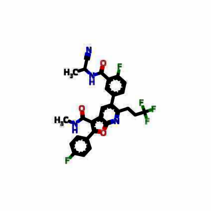 CNC(=O)c1c(-c2ccc(F)cc2)oc2nc(CCC(F)(F)F)c(-c3ccc(F)c(C(=O)NC(C)C#N)c3)cc12